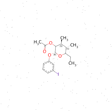 CCC1O[C@H](Oc2cccc(I)c2)C(OC(C)=O)[C@@H](C)[C@@H]1C